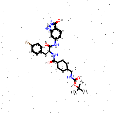 CC(C)(C)OC(=O)NCC1CCC(C(=O)N[C@@H](Cc2ccc(Br)cc2)C(=O)Nc2ccc3c(=O)[nH][nH]c3c2)CC1